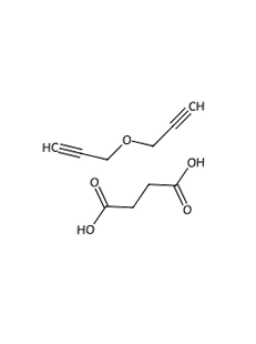 C#CCOCC#C.O=C(O)CCC(=O)O